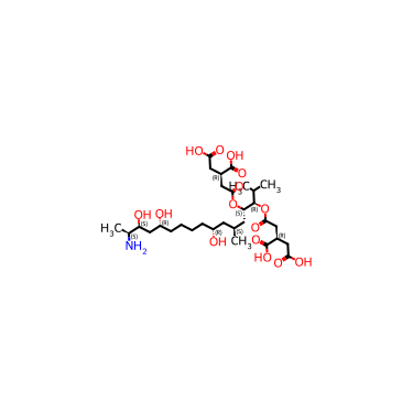 CC(C)[C@@H](OC(=O)C[C@@H](CC(=O)O)C(=O)O)[C@H](C[C@@H](C)C[C@H](O)CCCC[C@@H](O)C[C@H](O)[C@H](C)N)OC(=O)C[C@@H](CC(=O)O)C(=O)O